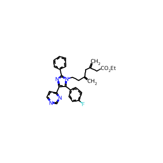 C=C(CCn1c(-c2ccccc2)nc(-c2ccncn2)c1-c1ccc(F)cc1)CC(=C)CC(=O)OCC